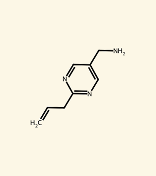 C=CCc1ncc(CN)cn1